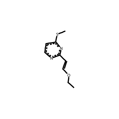 CCOC=Cc1nccc(SC)n1